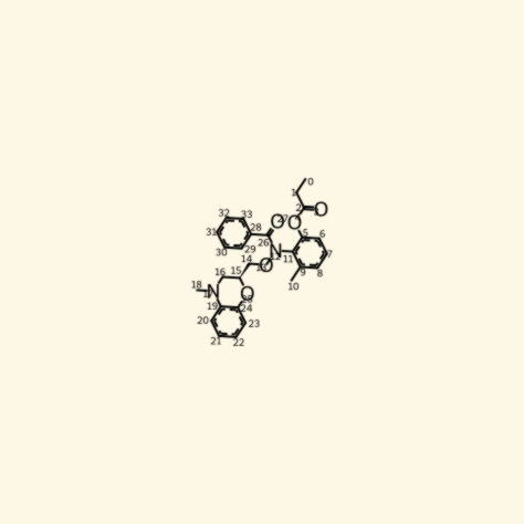 CCC(=O)Oc1cccc(C)c1N(OC[C@@H]1CN(C)c2ccccc2O1)C(=O)c1ccccc1